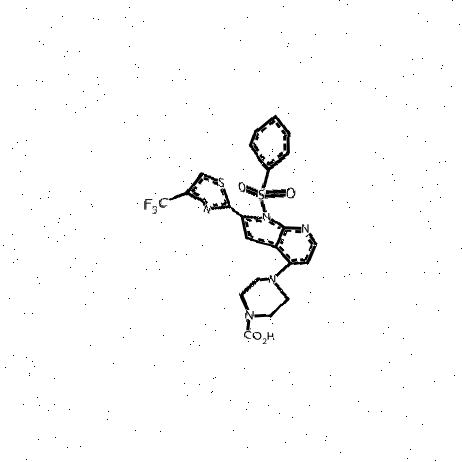 O=C(O)N1CCN(c2ccnc3c2cc(-c2nc(C(F)(F)F)cs2)n3S(=O)(=O)c2ccccc2)CC1